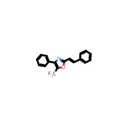 FC(F)(F)c1oc(/C=C/c2ccccc2)nc1-c1ccccc1